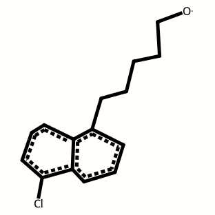 [O]CCCCCc1cccc2c(Cl)cccc12